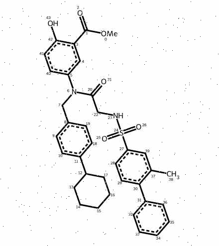 COC(=O)c1cc(N(Cc2ccc(C3CCCCC3)cc2)C(=O)CNS(=O)(=O)c2ccc(-c3ccccc3)c(C)c2)ccc1O